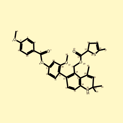 COc1ccc(C(=O)Oc2ccc(-c3ccc4c(c3COC(=O)C3CC=C(C)S3)C(C)=CC(C)(C)N4)c(OC)c2)cc1